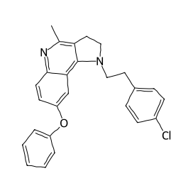 Cc1nc2ccc(Oc3ccccc3)cc2c2c1CCN2CCc1ccc(Cl)cc1